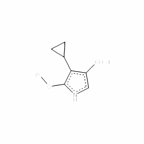 CC(C)Oc1[nH]cc(C(=O)O)c1C1CC1